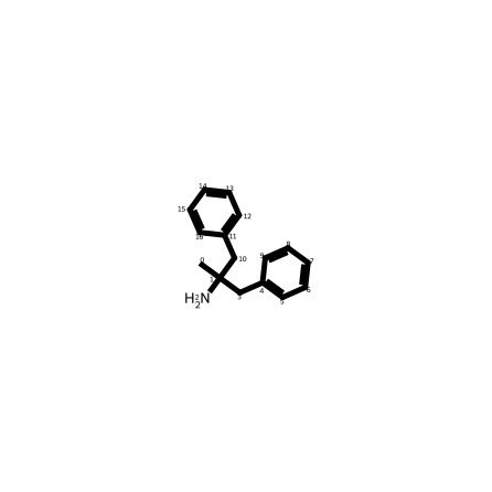 CC(N)(Cc1ccccc1)Cc1ccccc1